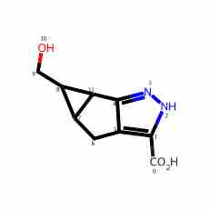 O=C(O)c1[nH]nc2c1CC1C(CO)C21